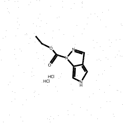 CCOC(=O)n1ncc2c[nH]cc21.Cl.Cl